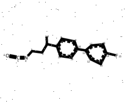 CC(CCN=C=O)c1ccc(-c2ccc(F)cc2)cc1